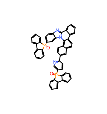 O=P1(c2ccc(-c3ccc4c(ccc5c6ccccc6c6nc7ccc(P8(=O)c9ccccc9-c9ccccc98)cc7n6c45)c3)nc2)c2ccccc2-c2ccccc21